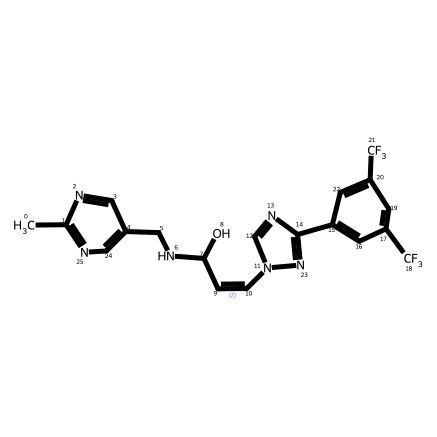 Cc1ncc(CNC(O)/C=C\n2cnc(-c3cc(C(F)(F)F)cc(C(F)(F)F)c3)n2)cn1